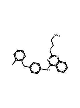 COCCOc1nc(Nc2ccc(Oc3ccccc3C)cc2)c2ccccc2n1